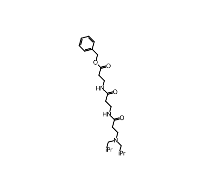 CC(C)CN(CCC(=O)NCCC(=O)NCCC(=O)OCc1ccccc1)CC(C)C